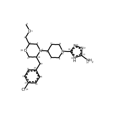 COCC1CN(C2CCN(c3nnc(N)[nH]3)CC2)C(Cc2ccc(Cl)cc2)CO1